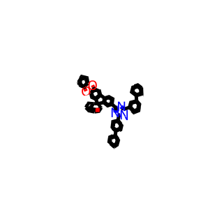 c1ccc(-c2ccc(-c3nc(-c4cccc(-c5ccccc5)c4)nc(-c4ccc5c(c4)C4(c6cc7c(cc6-5)Oc5ccccc5O7)C5CC6CC(C5)CC4C6)n3)cc2)cc1